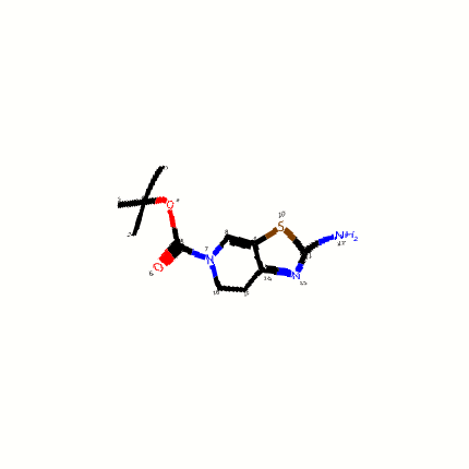 CC(C)(C)OC(=O)N1C=C2SC(N)N=C2CC1